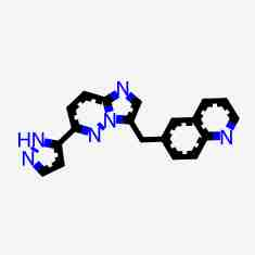 c1cnc2ccc(Cc3cnc4ccc(-c5ccn[nH]5)nn34)cc2c1